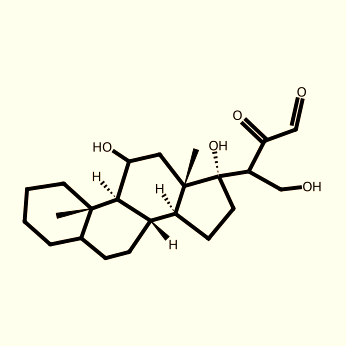 C[C@]12CCCCC1CC[C@@H]1[C@@H]2C(O)C[C@@]2(C)[C@H]1CC[C@]2(O)C(CO)C(=O)C=O